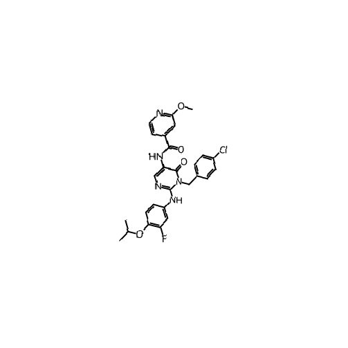 COc1cc(C(=O)Nc2cnc(Nc3ccc(OC(C)C)c(F)c3)n(Cc3ccc(Cl)cc3)c2=O)ccn1